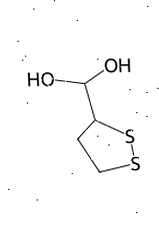 OC(O)C1CCSS1